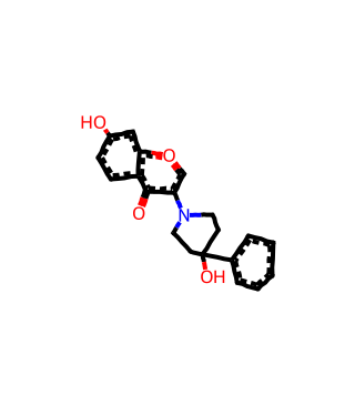 O=c1c(N2CCC(O)(c3ccccc3)CC2)coc2cc(O)ccc12